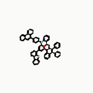 c1ccc(-c2c(-c3ccccc3)c3cc(-c4ccccc4N(c4ccc(-c5cc6ccccc6c6ccccc56)cc4)c4cccc(-c5cccc6c5sc5ccccc56)c4)ccc3c3ccccc23)cc1